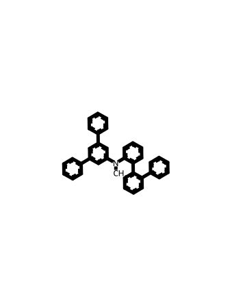 CN(c1cc(-c2ccccc2)cc(-c2ccccc2)c1)c1ccccc1-c1ccccc1-c1ccccc1